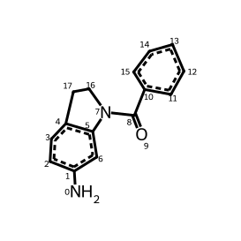 Nc1ccc2c(c1)N(C(=O)c1ccccc1)CC2